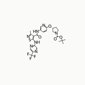 Cc1nsc(Nc2cnc(C(F)(F)F)cn2)c1C(=O)Nc1ccc(O[C@@H]2CCN(C(=O)OC(C)(C)C)C2)nc1